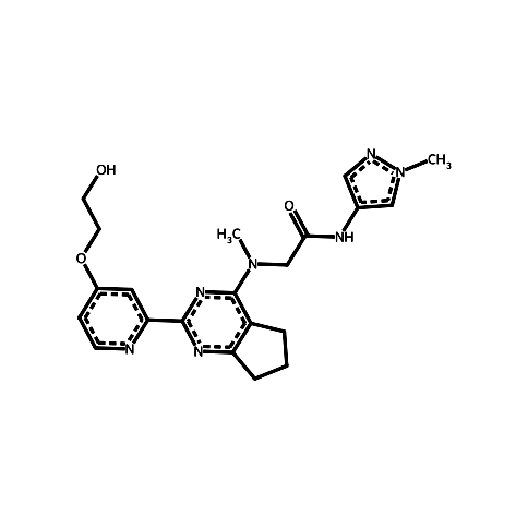 CN(CC(=O)Nc1cnn(C)c1)c1nc(-c2cc(OCCO)ccn2)nc2c1CCC2